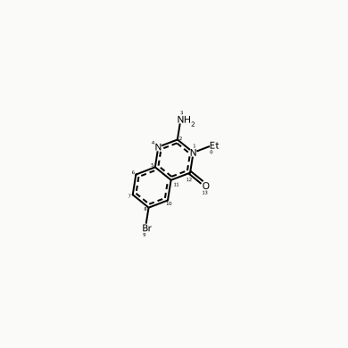 CCn1c(N)nc2ccc(Br)cc2c1=O